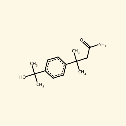 CC(C)(O)c1ccc(C(C)(C)CC(N)=O)cc1